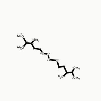 COC(OC)C([SiH3])CCSSSSCCC([SiH3])C(OC)OC